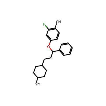 CCCC1CCC(CCC(Oc2ccc(C#N)c(F)c2)c2ccccc2)CC1